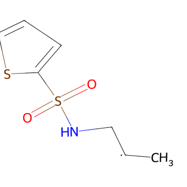 C[CH]CNS(=O)(=O)c1cccs1